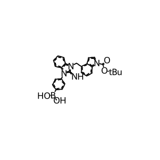 CC(C)(C)OC(=O)n1ccc2c(Cn3c(=N)n(-c4ccc(B(O)O)cc4)c4ccccc43)cccc21